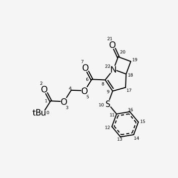 CC(C)(C)C(=O)OCOC(=O)C1=C(Sc2ccccc2)CC2CC(=O)N12